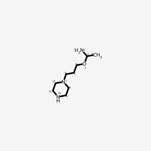 CC(N)OCCCN1CCNCC1